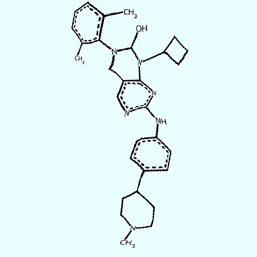 Cc1cccc(C)c1N1Cc2cnc(Nc3ccc(C4CCN(C)CC4)cc3)nc2N(C2CCC2)C1O